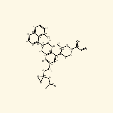 C=CC(=O)N1CCN(c2nc(OCC3(CN(C)C)CC3)nc3c2CCN(c2cccc4cccc(Cl)c24)C3)[C@@H](C)C1